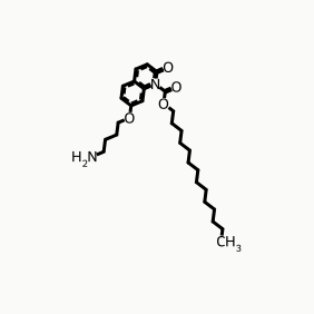 CCCCCCCCCCCCCCOC(=O)n1c(=O)ccc2ccc(OCCCCN)cc21